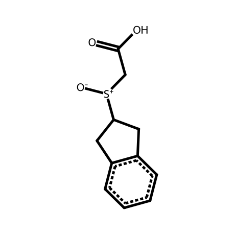 O=C(O)C[S+]([O-])C1Cc2ccccc2C1